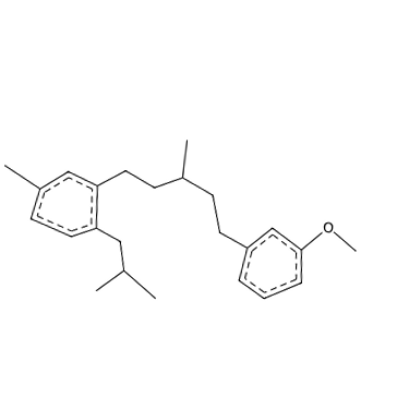 COc1cccc(CCC(C)CCc2cc(C)ccc2CC(C)C)c1